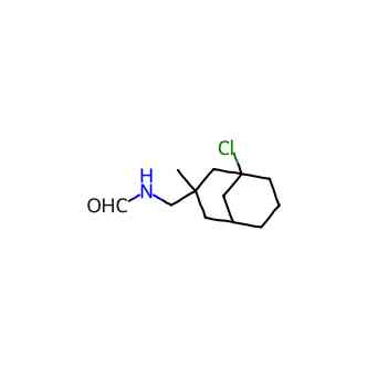 CC1(CNC=O)CC2CCCC(Cl)(C2)C1